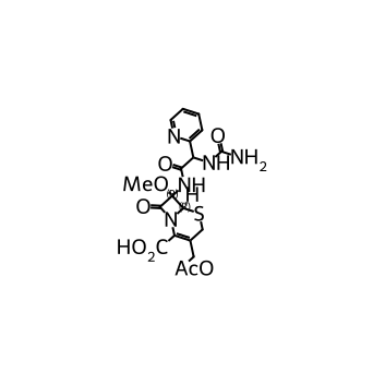 CO[C@]1(NC(=O)C(NC(N)=O)c2ccccn2)C(=O)N2C(C(=O)O)=C(COC(C)=O)CS[C@@H]21